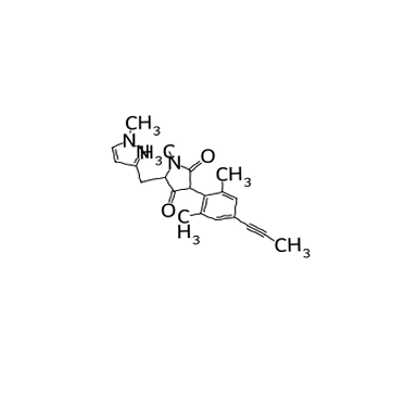 CC#Cc1cc(C)c(C2C(=O)C(Cc3ccn(C)n3)N(C)C2=O)c(C)c1